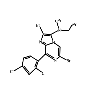 CCCN(CC(C)C)c1c(CC)nc2c(-c3ccc(Cl)cc3Cl)nc(Br)cn12